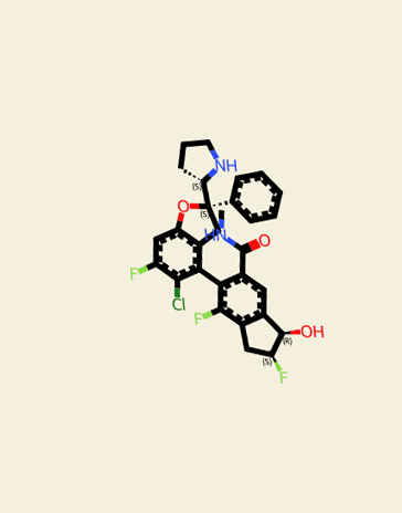 CNC(=O)c1cc2c(c(F)c1-c1c(Cl)c(F)cc3c1C[C@](c1ccccc1)([C@@H]1CCCN1)O3)C[C@H](F)[C@@H]2O